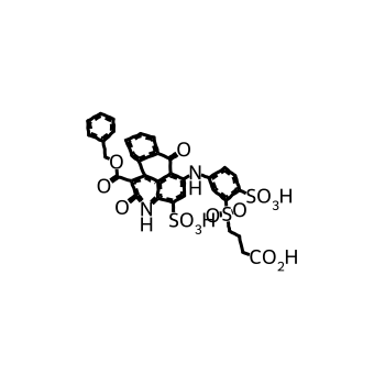 O=C(O)CCCS(=O)(=O)c1cc(Nc2cc(S(=O)(=O)O)c3[nH]c(=O)c(C(=O)OCc4ccccc4)c4c3c2C(=O)c2ccccc2-4)ccc1S(=O)(=O)O